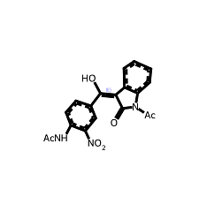 CC(=O)Nc1ccc(/C(O)=C2\C(=O)N(C(C)=O)c3ccccc32)cc1[N+](=O)[O-]